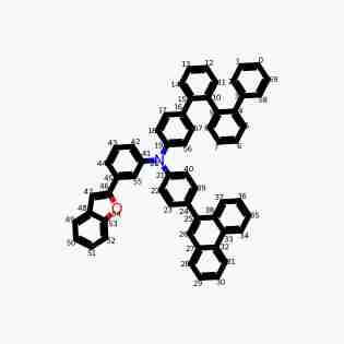 c1ccc(-c2ccccc2-c2ccccc2-c2ccc(N(c3ccc(-c4cc5ccccc5c5ccccc45)cc3)c3cccc(-c4cc5ccccc5o4)c3)cc2)cc1